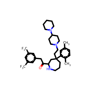 Cc1ccc(C)c(C2(CCN3CCC(N4CCCCC4)CC3)CCCNC(C(=O)Cc3cc(C(F)(F)F)cc(C(F)(F)F)c3)C2)c1